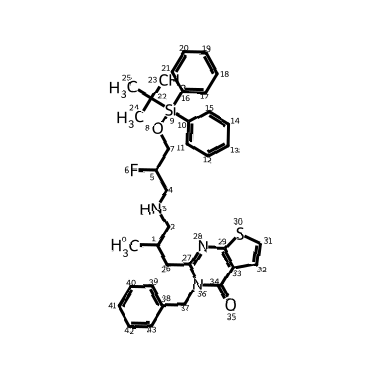 CC(CNCC(F)CO[Si](c1ccccc1)(c1ccccc1)C(C)(C)C)Cc1nc2sccc2c(=O)n1Cc1ccccc1